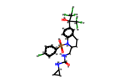 O=C(NCC1CCc2cc(C(O)(C(F)(F)F)C(F)(F)F)ccc2N1S(=O)(=O)c1ccc(F)cc1)NC1CC1